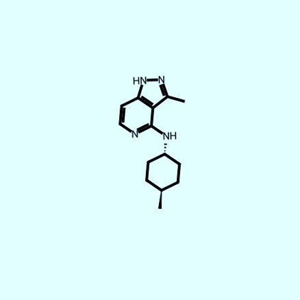 Cc1n[nH]c2ccnc(N[C@H]3CC[C@H](C)CC3)c12